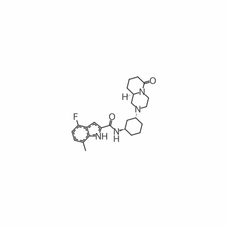 Cc1ccc(F)c2cc(C(=O)N[C@@H]3CCC[C@@H](N4CCN5C(=O)CCC[C@@H]5C4)C3)[nH]c12